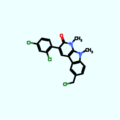 Cn1c(=O)c(-c2ccc(Cl)cc2Cl)cc2c3cc(CCl)ccc3n(C)c21